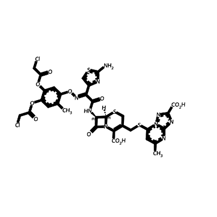 Cc1cc(SCC2=C(C(=O)O)N3C(=O)[C@@H](NC(=O)C(=NOc4cc(OC(=O)CCl)c(OC(=O)CCl)cc4C)c4csc(N)n4)[C@H]3SC2)n2nc(C(=O)O)nc2n1